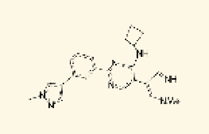 CN/C=C(\C=N)c1cnc(-c2cccc(-c3cnn(C)c3)c2)nc1NC1CCC1